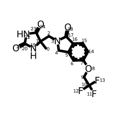 CC1(CN2Cc3cc(OCC(F)(F)F)ccc3C2=O)NC(=O)NC1=O